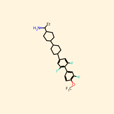 CCC(N)C1CCC(C2CCC(c3cc(F)c(-c4ccc(OC(F)(F)F)c(F)c4)c(F)c3)CC2)CC1